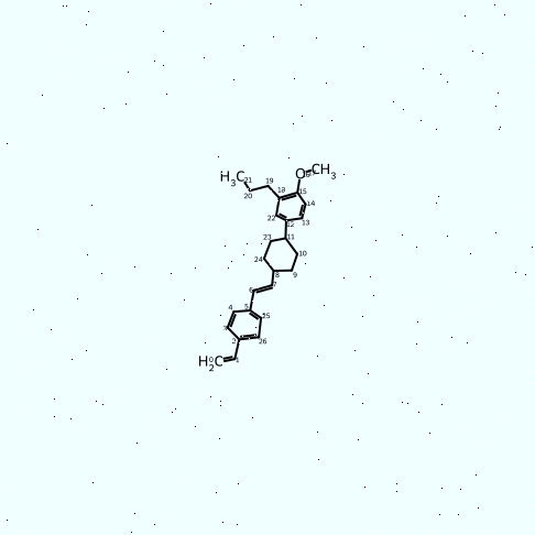 C=Cc1ccc(/C=C/C2CCC(c3ccc(OC)c(CCC)c3)CC2)cc1